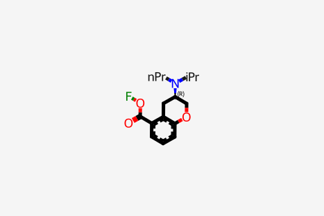 CCCN(C(C)C)[C@H]1COc2cccc(C(=O)OF)c2C1